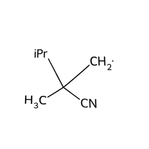 [CH2]C(C)(C#N)C(C)C